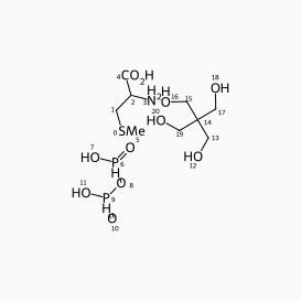 CSCC(N)C(=O)O.O=[PH](O)O[PH](=O)O.OCC(CO)(CO)CO